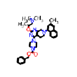 Cc1cc(N2CCc3c(nc(O[C@@H](C)CN(C)C)nc3N3CCN(C(=O)OCc4ccccc4)CC3)C2)c2ccccc2c1